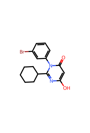 O=c1cc(O)nc(C2CCCCC2)n1-c1cccc(Br)c1